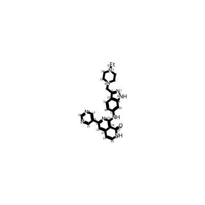 CCN1CCN(Cc2n[nH]c3cc(Nc4nc(-c5cncnc5)cc5cc[nH]c(=O)c45)ccc23)CC1